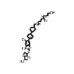 O=C(CCCNCc1ccc(-c2ccc(-c3cc4nc(OC5COC6C(O)COC56)[nH]c4cc3Cl)cc2)cc1)NCCO